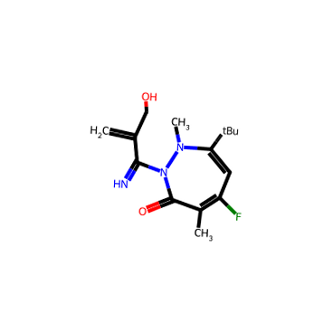 C=C(CO)C(=N)N1C(=O)C(C)=C(F)C=C(C(C)(C)C)N1C